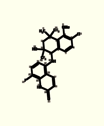 COc1c(Cl)ccc2c1C(C)(C)CC(O)(C(F)(F)F)C2Nc1ccc(F)c2[nH]c(=O)ccc12